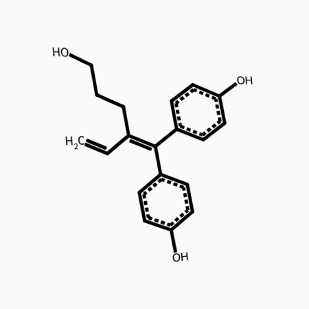 C=CC(CCCO)=C(c1ccc(O)cc1)c1ccc(O)cc1